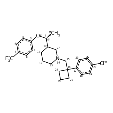 C[C@H](Oc1ccc(C(F)(F)F)cc1)C1CCCN(CC2(c3ccc(Cl)cc3)CCC2)C1